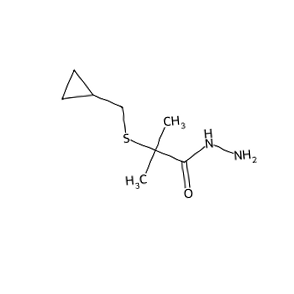 CC(C)(SCC1CC1)C(=O)NN